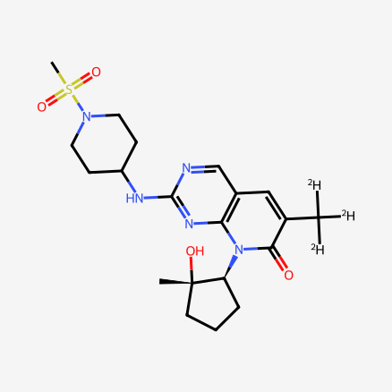 [2H]C([2H])([2H])c1cc2cnc(NC3CCN(S(C)(=O)=O)CC3)nc2n([C@H]2CCC[C@]2(C)O)c1=O